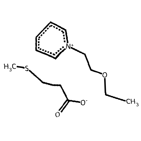 CCOCC[n+]1ccccc1.CSCCC(=O)[O-]